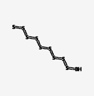 B=S=S=S=S=S=S=S=S=S